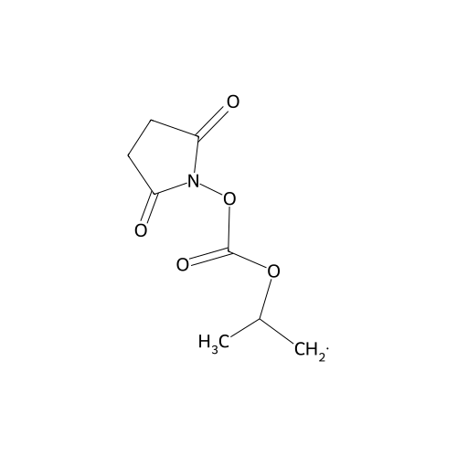 [CH2]C(C)OC(=O)ON1C(=O)CCC1=O